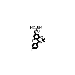 CC1(C)N=C(c2ccc(F)cc2)c2c(F)cc(CS(=N)(=O)O)cc2O1